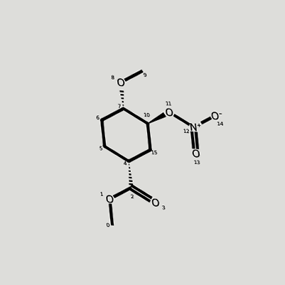 COC(=O)[C@@H]1CC[C@H](OC)[C@@H](O[N+](=O)[O-])C1